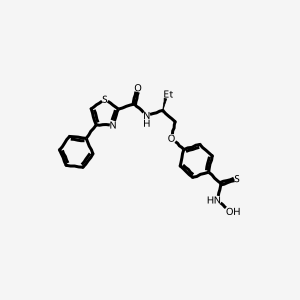 CC[C@@H](COc1ccc(C(=S)NO)cc1)NC(=O)c1nc(-c2ccccc2)cs1